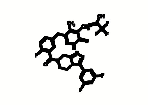 Cc1c(Cc2ccc(F)c(C(=O)N3CCn4c(nnc4-c4cc(F)cc(F)c4)C3)c2)n[nH]c(=O)c1C.O=C(O)C(F)(F)F